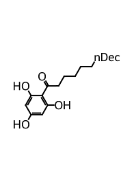 CCCCCCCCCCCCCCCC(=O)c1c(O)cc(O)cc1O